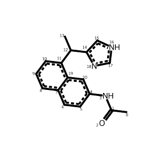 CC(=O)Nc1ccc2cccc(C(C)c3c[nH]cn3)c2c1